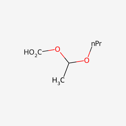 CCCOC(C)OC(=O)O